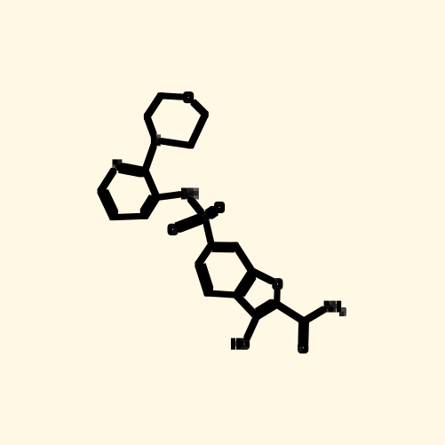 NC(=O)c1oc2cc(S(=O)(=O)Nc3cccnc3N3CCOCC3)ccc2c1O